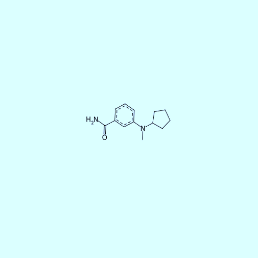 CN(c1cccc(C(N)=O)c1)C1CCCC1